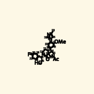 COc1cc(C2CN(C(C)=O)CC23CCCN([C@@H](CO)c2ccc(F)cc2)C3=O)ccc1-n1cnc(C)c1